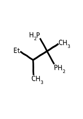 CCC(C)C(C)(P)P